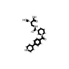 C#C[C@@H](CNC(=O)[C@@H]1CCCN(C(=O)c2ccc(C3CCNCC3)cc2)C1)C(=O)O